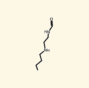 CCCCNCCNC=O